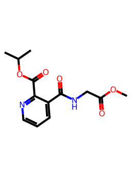 COC(=O)CNC(=O)c1cccnc1C(=O)OC(C)C